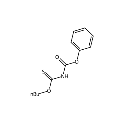 CCCCOC(=S)NC(=O)Oc1ccccc1